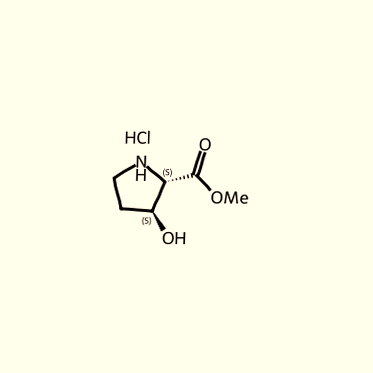 COC(=O)[C@H]1NCC[C@@H]1O.Cl